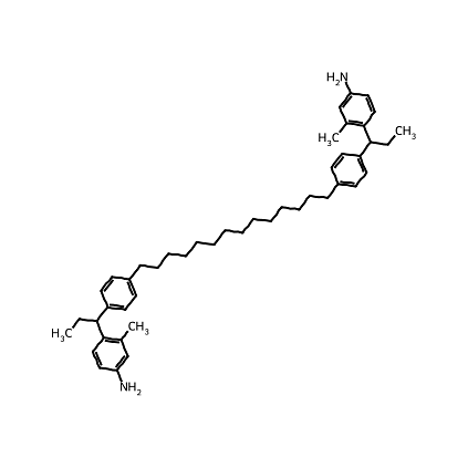 CCC(c1ccc(CCCCCCCCCCCCCCc2ccc(C(CC)c3ccc(N)cc3C)cc2)cc1)c1ccc(N)cc1C